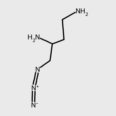 [N-]=[N+]=NCC(N)CCN